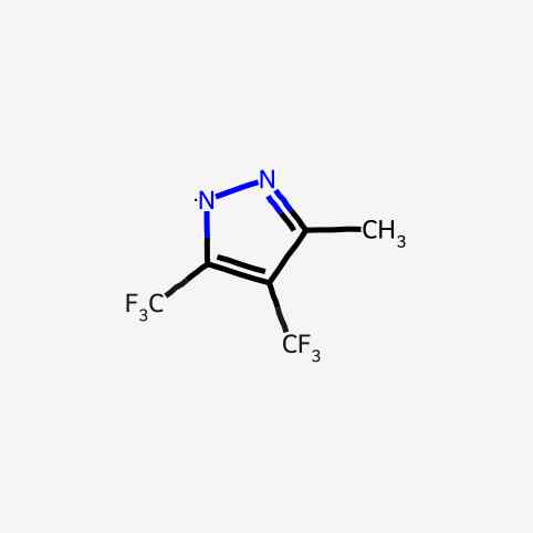 CC1=N[N]C(C(F)(F)F)=C1C(F)(F)F